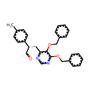 Cc1ccc([C@@H](C=O)Cc2ncnc(OCc3ccccc3)c2OCc2ccccc2)cc1